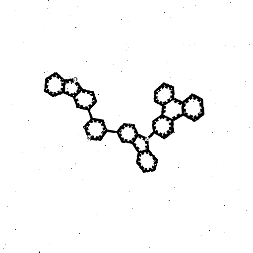 c1ccc2c(c1)oc1ccc(-c3cncc(-c4ccc5c(c4)c4ccccc4n5-c4ccc5c6ccccc6c6ccccc6c5c4)c3)cc12